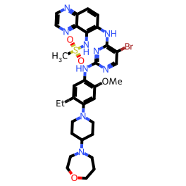 CCc1cc(Nc2ncc(Br)c(Nc3ccc4nccnc4c3NS(C)(=O)=O)n2)c(OC)cc1N1CCC(N2CCCOCC2)CC1